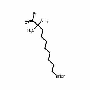 CCCCCCCCCCCCCCCCCC(C)(C)C(=O)Br